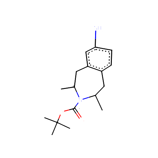 CC1Cc2ccc(N)cc2CC(C)N1C(=O)OC(C)(C)C